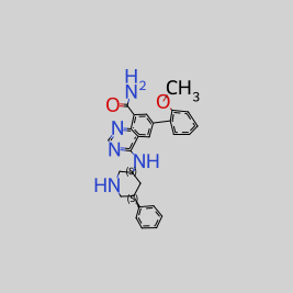 COc1ccccc1-c1cc(C(N)=O)c2ncnc(N[C@@H]3CNC[C@H](c4ccccc4)C3)c2c1